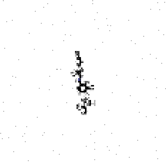 C=CC(=O)NCOc1ccc(/C=C/C(=O)OCCC#N)cc1F